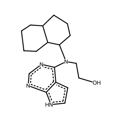 OCCN(c1ncnc2[nH]ccc12)C1CCCC2CCCCC21